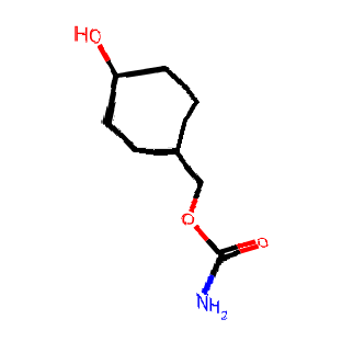 NC(=O)OCC1CCC(O)CC1